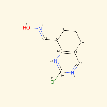 ON=CC1CCCc2cnc(Cl)nc21